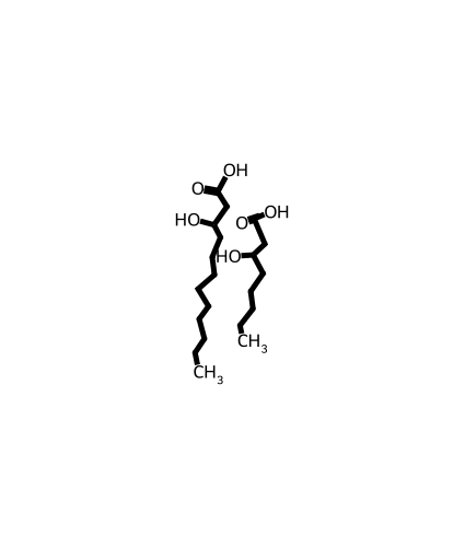 CCCCCC(O)CC(=O)O.CCCCCCCCCC(O)CC(=O)O